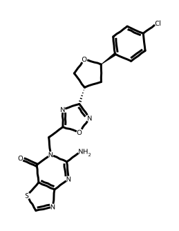 Nc1nc2ncsc2c(=O)n1Cc1nc([C@@H]2CO[C@@H](c3ccc(Cl)cc3)C2)no1